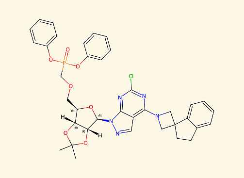 CC1(C)O[C@@H]2[C@H](O1)[C@@H](COCP(=O)(Oc1ccccc1)Oc1ccccc1)O[C@H]2n1ncc2c(N3CC4(CCc5ccccc54)C3)nc(Cl)nc21